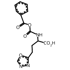 O=C(NC(CCc1nnco1)C(=O)O)OC(=O)c1ccccc1